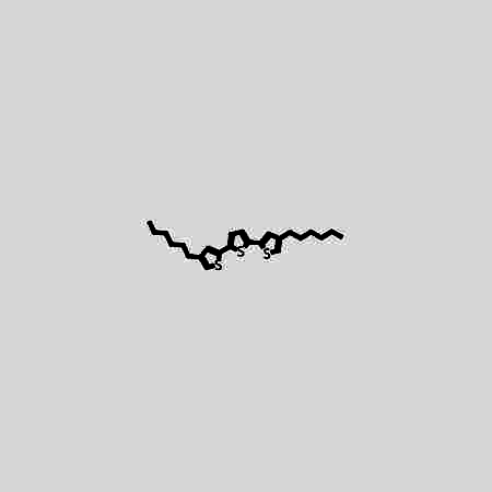 CCCCCCc1csc(-c2ccc(-c3cc(CCCCCC)cs3)s2)c1